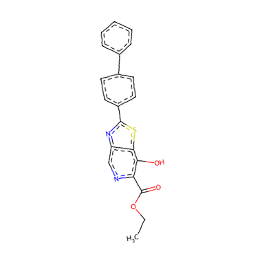 CCOC(=O)c1ncc2nc(-c3ccc(-c4ccccc4)cc3)sc2c1O